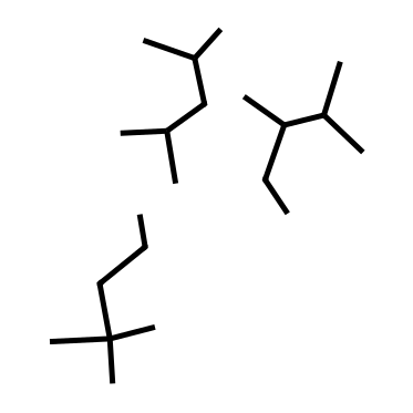 CC(C)CC(C)C.CCC(C)C(C)C.CCCC(C)(C)C